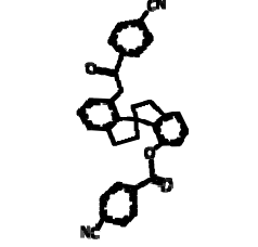 N#Cc1ccc(C(=O)Cc2cccc3c2C2(CC3)CCc3cccc(OC(=O)c4ccc(C#N)cc4)c32)cc1